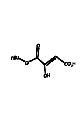 CCCCOC(=O)/C(O)=C/C(=O)O